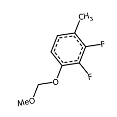 COCOc1ccc(C)c(F)c1F